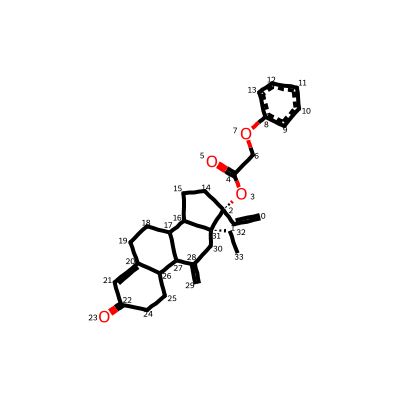 C=C[C@]1(OC(=O)COc2ccccc2)CCC2C3CCC4=CC(=O)CCC4C3C(=C)C[C@@]21CC